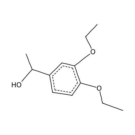 CCOc1ccc(C(C)O)cc1OCC